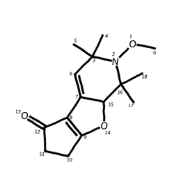 CON1C(C)(C)C=C2C3=C(CCC3=O)OC2C1(C)C